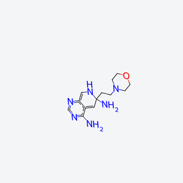 Nc1ncnc2c1=CC(N)(CCN1CCOCC1)NC=2